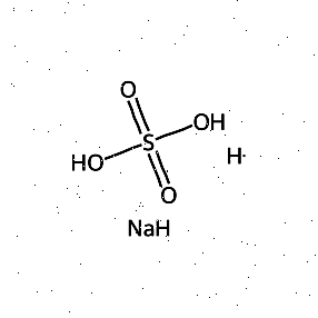 O=S(=O)(O)O.[H].[NaH]